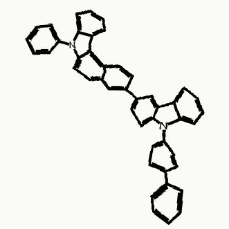 c1ccc(-c2ccc(-n3c4ccccc4c4cc(-c5ccc6c(ccc7c6c6ccccc6n7-c6ccccc6)c5)ccc43)cc2)cc1